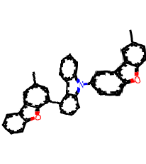 Cc1ccc2oc3ccc(-n4c5ccccc5c5c(-c6cc(C)cc7c6oc6ccccc67)cccc54)cc3c2c1